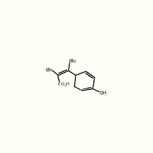 CC(C)(C)C(C(=O)O)=C(C1C=CC(O)=CC1)C(C)(C)C